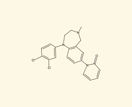 CN1CCN(c2ccc(Cl)c(Cl)c2)c2ccc(-n3ccccc3=O)cc2C1